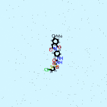 COc1ccc2c(c1)CC(=O)N(c1ccc(NC(=O)NS(=O)(=O)c3ccc(Cl)s3)cc1)C2=O